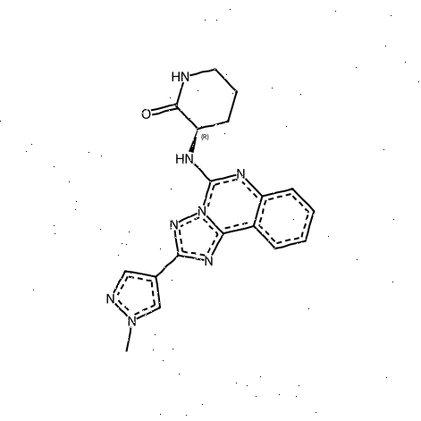 Cn1cc(-c2nc3c4ccccc4nc(N[C@@H]4CCCNC4=O)n3n2)cn1